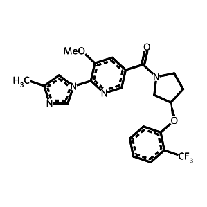 COc1cc(C(=O)N2CC[C@@H](Oc3ccccc3C(F)(F)F)C2)cnc1-n1cnc(C)c1